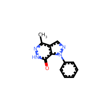 Cc1n[nH]c(=O)c2c1cnn2-c1ccccc1